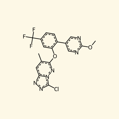 COc1ncc(-c2ccc(C(F)(F)F)cc2Oc2nn3c(Cl)nnc3cc2C)cn1